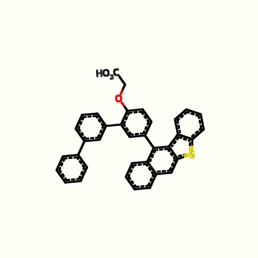 O=C(O)COc1ccc(-c2c3ccccc3cc3sc4ccccc4c23)cc1-c1cccc(-c2ccccc2)c1